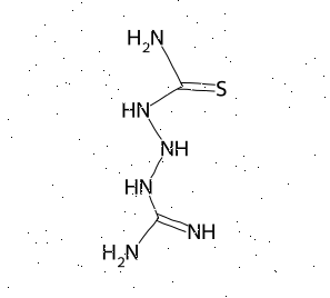 N=C(N)NNNC(N)=S